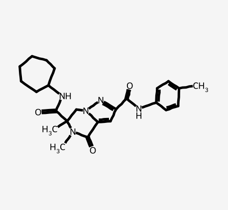 Cc1ccc(NC(=O)c2cc3n(n2)CC(C)(C(=O)NC2CCCCCC2)N(C)C3=O)cc1